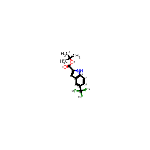 CC(C)(C)OC(=O)c1cc2cc(C(F)(F)F)ccc2[nH]1